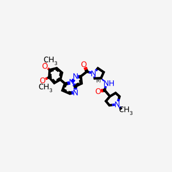 COc1ccc(-c2ccnc3cc(C(=O)N4CC[C@@H](NC(=O)C5CCN(C)CC5)C4)nn23)cc1OC